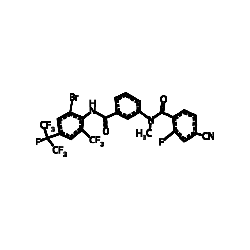 CN(C(=O)c1ccc(C#N)cc1F)c1cccc(C(=O)Nc2c(Br)cc(C(F)(C(F)(F)F)C(F)(F)F)cc2C(F)(F)F)c1